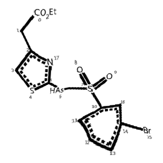 CCOC(=O)Cc1csc([AsH]S(=O)(=O)c2cccc(Br)c2)n1